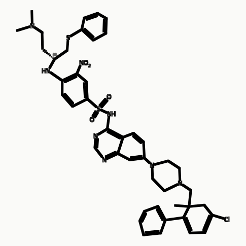 CN(C)CC[C@H](CSc1ccccc1)Nc1ccc(S(=O)(=O)Nc2ncnc3cc(N4CCN(CC5(C)CC(Cl)=CC=C5c5ccccc5)CC4)ccc23)cc1[N+](=O)[O-]